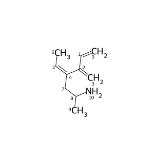 C=CC(=C)/C(=C\C)CC(C)N